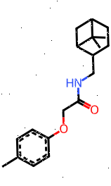 Cc1ccc(OCC(=O)NCC2CCC3CC2C3(C)C)cc1